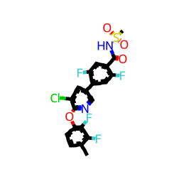 Cc1ccc(Oc2ncc(-c3cc(F)c(C(=O)NS(C)(=O)=O)cc3F)cc2Cl)c(F)c1F